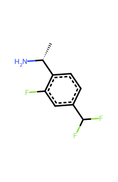 C[C@@H](N)c1ccc(C(F)F)cc1F